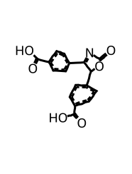 O=C1N=C(c2ccc(C(=O)O)cc2)C(c2ccc(C(=O)O)cc2)O1